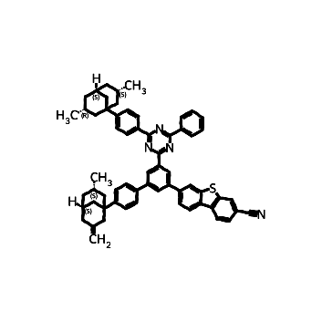 C=C1C[C@@H]2C[C@H](C)CC(c3ccc(-c4cc(-c5ccc6c(c5)sc5cc(C#N)ccc56)cc(-c5nc(-c6ccccc6)nc(-c6ccc(C78C[C@H](C)C[C@H](C[C@H](C)C7)C8)cc6)n5)c4)cc3)(C1)C2